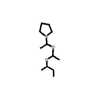 CCC(C)OC(C)OC(C)N1CCCC1